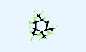 FC(F)(F)C1(F)C(F)(F)C(F)(C(F)(F)F)C(F)(C(F)(F)F)C(F)(C(F)(F)F)C1(F)F